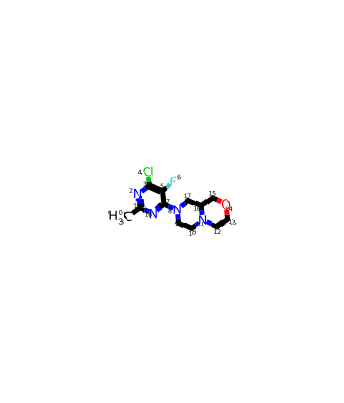 Cc1nc(Cl)c(F)c(N2CCN3CCOCC3C2)n1